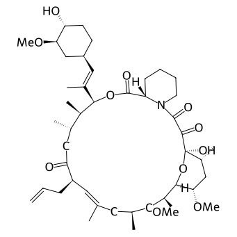 C=CC[C@@H]1/C=C(\C)C[C@H](C)C[C@H](OC)[C@H]2O[C@@](O)(C(=O)C(=O)N3CCCC[C@H]3C(=O)O[C@H](/C(C)=C/[C@@H]3CC[C@@H](O)[C@H](OC)C3)[C@H](C)[C@@H](C)CC1=O)[C@H](C)C[C@@H]2OC